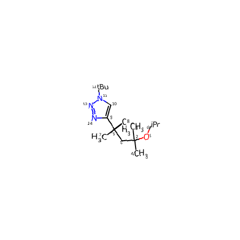 CC(C)OC(C)(C)CC(C)(C)c1cn(C(C)(C)C)nn1